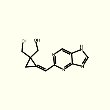 OCC1(CO)CC1=Cc1ncc2[nH]cnc2n1